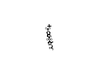 Cc1c(S(=O)(=O)n2cc3c(n2)CN(C(=O)OC(C)(C)C)C3)cnn1CC(F)F